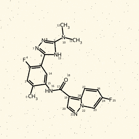 Cc1cc(F)c(-c2nnc(N(C)C)[nH]2)cc1NC(=O)c1cnn2cc(F)ccc12